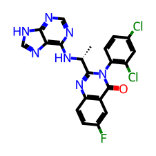 C[C@@H](Nc1ncnc2[nH]cnc12)c1nc2ccc(F)cc2c(=O)n1-c1ccc(Cl)cc1Cl